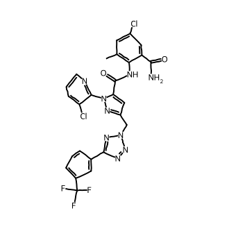 Cc1cc(Cl)cc(C(N)=O)c1NC(=O)c1cc(Cn2nnc(-c3cccc(C(F)(F)F)c3)n2)nn1-c1ncccc1Cl